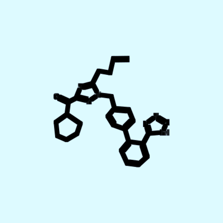 C=CCCc1nc(C(=O)C2CCCCC2)nn1Cc1ccc(-c2ccccc2-c2nnn[nH]2)cc1